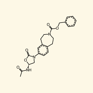 CC(=O)N[C@@H]1CN(c2ccc3c(c2)CCN(C(=O)OCc2ccccc2)CC3)C(=O)O1